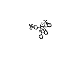 Cc1c(-c2ccc([N+](=O)[O-])cc2)n(N=C(c2ccccc2)c2ccccc2)c(=O)n1[C@@H](Cc1ccccc1)C(=O)NC(C)C